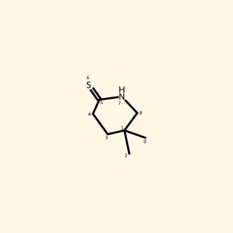 CC1(C)CCC(=S)NC1